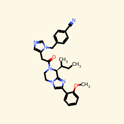 CCC(C)[C@H]1c2nc(-c3ccccc3OC)cn2CCN1C(=O)Cc1cncn1Cc1ccc(C#N)cc1